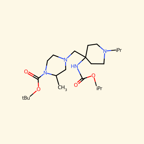 CC(C)OC(=O)NC1(CN2CCN(C(=O)OC(C)(C)C)C(C)C2)CCN(C(C)C)CC1